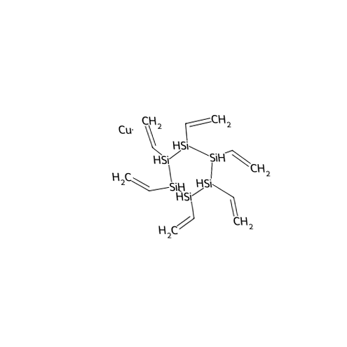 C=C[SiH]1[SiH](C=C)[SiH](C=C)[SiH](C=C)[SiH](C=C)[SiH]1C=C.[Cu]